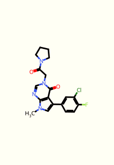 Cn1cc(-c2ccc(F)c(Cl)c2)c2c(=O)n(CC(=O)N3CCCC3)cnc21